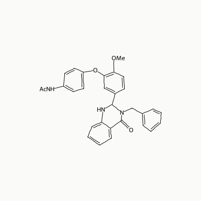 COc1ccc(C2Nc3ccccc3C(=O)N2Cc2ccccc2)cc1Oc1ccc(NC(C)=O)cc1